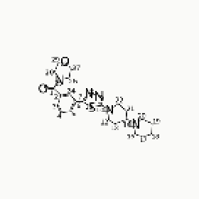 O=C(c1cccc(-c2nnc(N3CCC(N4CCCCC4)CC3)s2)c1)N1CCOCC1